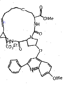 CCOC(=O)C12CC1/C=C/CCCCCC(C(=O)OC)NC(=O)N1CC(Oc3cc(-c4ccccc4)nc4cc(OC)ccc34)CC1C(=O)N2